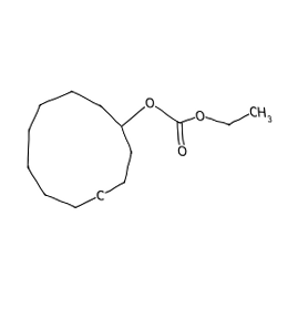 CCOC(=O)OC1CCCCCCCCCC1